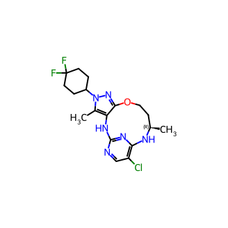 Cc1c2c(nn1C1CCC(F)(F)CC1)OCC[C@@H](C)Nc1nc(ncc1Cl)N2